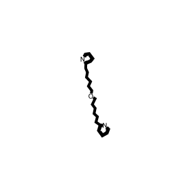 c1ccc(CCCCCCOCCCCCCc2ccccn2)nc1